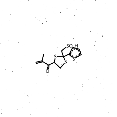 C=C(C)C(=O)C1CSC(CS(=O)(=O)O)(c2cccs2)S1